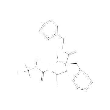 CC(C)[C@](Cc1ccccc1)(C(=O)OCc1ccccc1)[C@H](O)C(N)OC(=O)N(N)C(C)(C)C